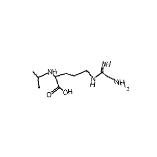 CC(C)NC(CCCNC(=N)N)C(=O)O